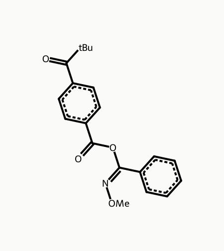 CON=C(OC(=O)c1ccc(C(=O)C(C)(C)C)cc1)c1ccccc1